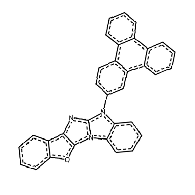 c1ccc2c(c1)oc1c2nc2n(-c3ccc4c5ccccc5c5ccccc5c4c3)c3ccccc3n12